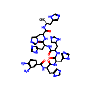 Nc1ccc(C(=O)NC(Cc2cnc[nH]2)C(=O)N[C@@H](Cc2cnc[nH]2)C(=O)NC(Cc2cnc[nH]2)C(=O)N[C@@H](Cc2cnc[nH]2)C(=O)NC(Cc2cnc[nH]2)C(=O)N[C@H](C=O)Cc2cnc[nH]2)cc1N